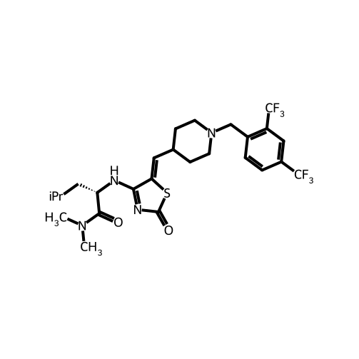 CC(C)C[C@H](NC1=NC(=O)S/C1=C\C1CCN(Cc2ccc(C(F)(F)F)cc2C(F)(F)F)CC1)C(=O)N(C)C